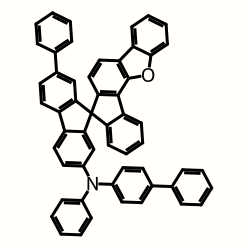 c1ccc(-c2ccc(N(c3ccccc3)c3ccc4c(c3)C3(c5cc(-c6ccccc6)ccc5-4)c4ccccc4-c4c3ccc3c4oc4ccccc43)cc2)cc1